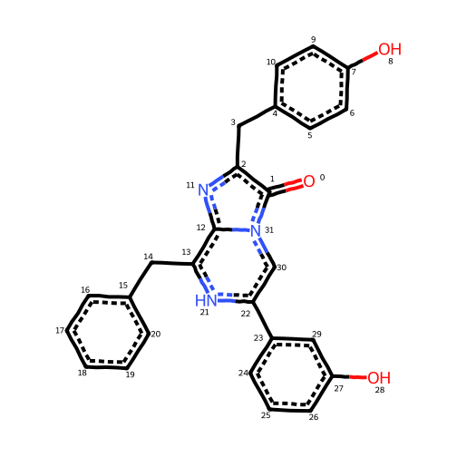 O=c1c(Cc2ccc(O)cc2)nc2c(Cc3ccccc3)[nH]c(-c3cccc(O)c3)cn1-2